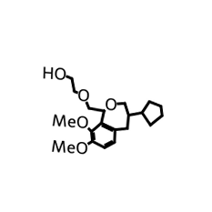 COc1ccc2c(c1OC)C(COCCO)OCC(C1CCCC1)C2